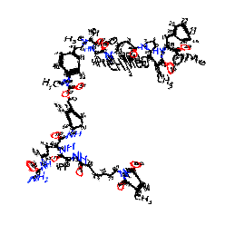 CC[C@H](C)[C@@H]([C@@H](CC(=O)N1CCC[C@H]1[C@H](OC)[C@@H](C)C(=O)N[C@@H](Cc1ccccc1)C(=O)OC)OC)N(C)C(=O)[C@@H](NC(=O)[C@H](C(C)C)N(C)CCc1ccc(N(C)C(=O)OCc2ccc(NC(=O)[C@H](CCCNC(N)=O)NC(=O)[C@@H](NC(=O)CCCCCN3C(=O)CC(C)C3=O)C(C)C)cc2)cc1)C(C)C